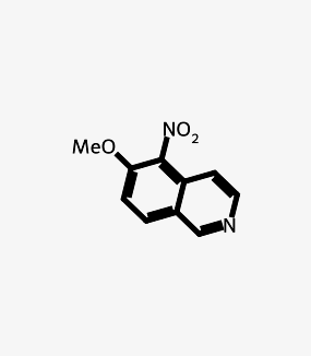 COc1ccc2cnccc2c1[N+](=O)[O-]